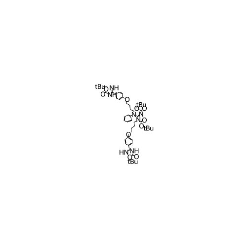 CC(C)(C)OC(=O)N=C(N(CCCCOc1ccc(C(=N)NC(=O)OC(C)(C)C)cc1)C(=O)OC(C)(C)C)N(CCCCOc1ccc(C(=N)NC(=O)OC(C)(C)C)cc1)c1ccccc1